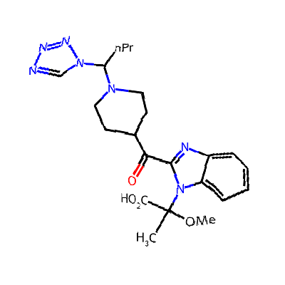 CCCC(N1CCC(C(=O)c2nc3ccccc3n2C(C)(OC)C(=O)O)CC1)n1cnnn1